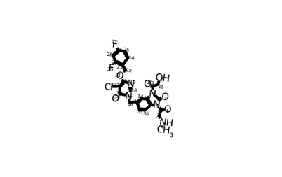 CNCC(=O)n1c(=O)n(C(=O)CO)c2cc(Cn3cnc(OCc4ccc(F)cc4F)c(Cl)c3=O)ccc21